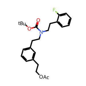 CC(=O)OCCc1cccc(CCN(CCc2ccccc2F)C(=O)OC(C)(C)C)c1